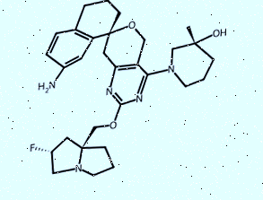 C[C@@]1(O)CCCN(c2nc(OC[C@@]34CCCN3C[C@H](F)C4)nc3c2CO[C@]2(CCCc4ccc(N)cc42)C3)C1